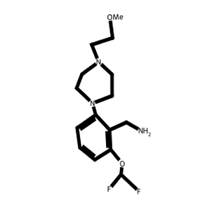 COCCN1CCN(c2cccc(OC(F)F)c2CN)CC1